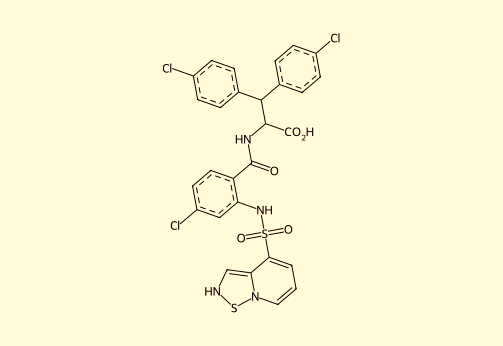 O=C(NC(C(=O)O)C(c1ccc(Cl)cc1)c1ccc(Cl)cc1)c1ccc(Cl)cc1NS(=O)(=O)C1=CC=CN2SNC=C12